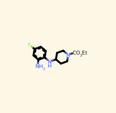 CCOC(=O)N1CCC(Nc2ccc(F)cc2N)CC1